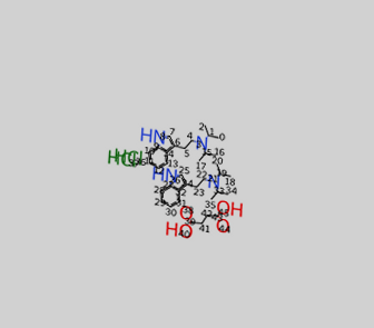 CC(C)N(CCc1c[nH]c2ccccc12)C(C)C.CC(C)N(CCc1c[nH]c2ccccc12)C(C)C.Cl.Cl.O=C(O)CCC(=O)O